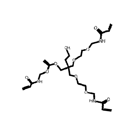 C=CC(=O)NCOCCOCC(CCO)(COCCOCNC(=O)C=C)COC(=C)OCNC(=O)C=C